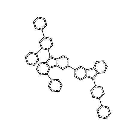 c1ccc(-c2ccc(-n3c4ccccc4c4cc(-c5ccc6c(c5)c5c(-c7ccccc7)cccc5n6-c5ccc(-c6ccccc6)cc5-c5ccccc5)ccc43)cc2)cc1